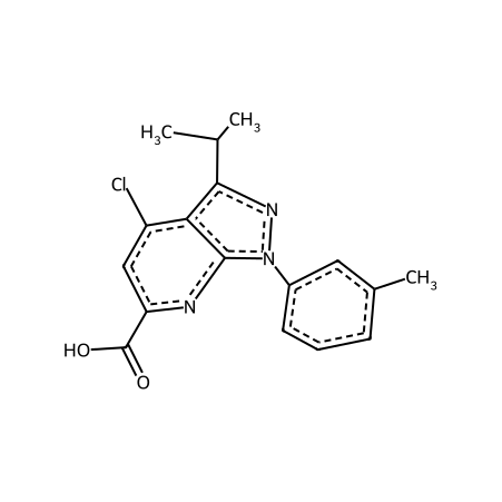 Cc1cccc(-n2nc(C(C)C)c3c(Cl)cc(C(=O)O)nc32)c1